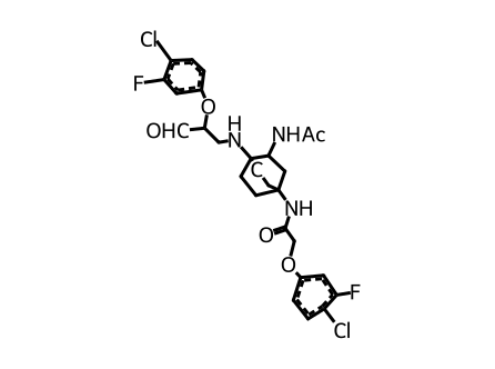 CC(=O)NC1CC2(NC(=O)COc3ccc(Cl)c(F)c3)CCC1(NCC(C=O)Oc1ccc(Cl)c(F)c1)CC2